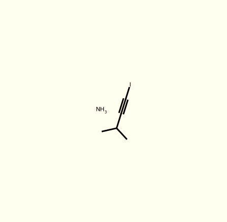 CC(C)C#CI.N